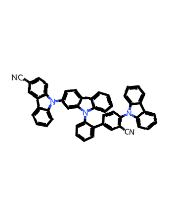 N#Cc1ccc2c(c1)c1ccccc1n2-c1ccc2c3ccccc3n(-c3ccccc3-c3ccc(-n4c5ccccc5c5ccccc54)c(C#N)c3)c2c1